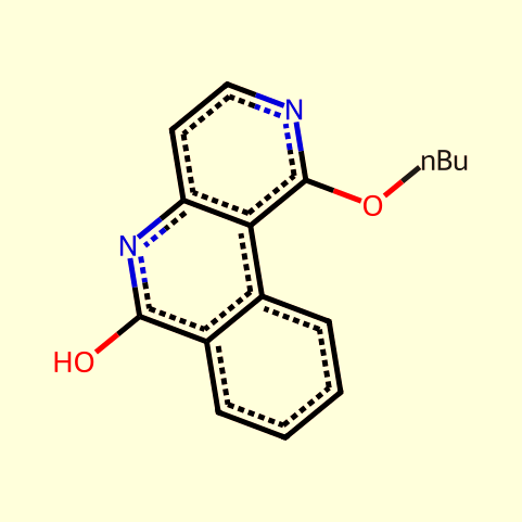 CCCCOc1nccc2nc(O)c3ccccc3c12